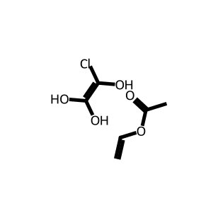 C=COC(C)=O.OC(O)=C(O)Cl